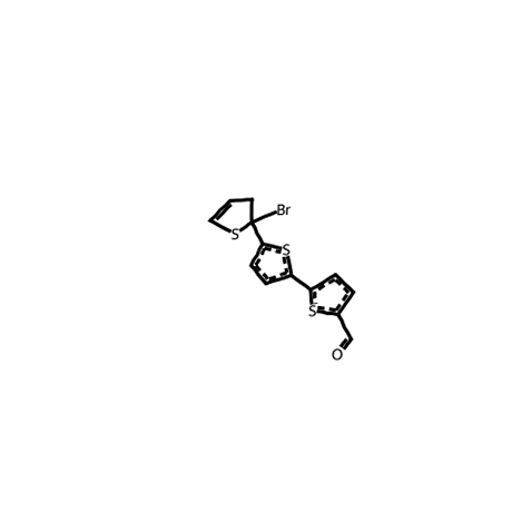 O=Cc1ccc(-c2ccc(C3(Br)CC=CS3)s2)s1